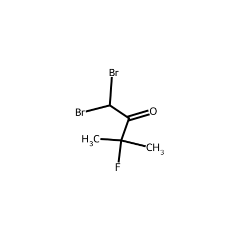 CC(C)(F)C(=O)C(Br)Br